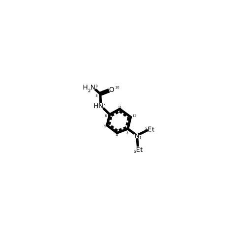 CCN(CC)c1ccc(NC(N)=O)cc1